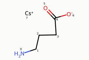 NCCCC(=O)[O-].[Cs+]